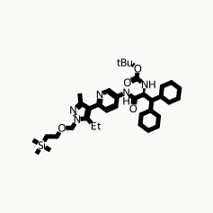 CCc1c(-c2ccc(NC(=O)[C@@H](NC(=O)OC(C)(C)C)C(C3CCCCC3)C3CCCCC3)cn2)c(C)nn1COCC[Si](C)(C)C